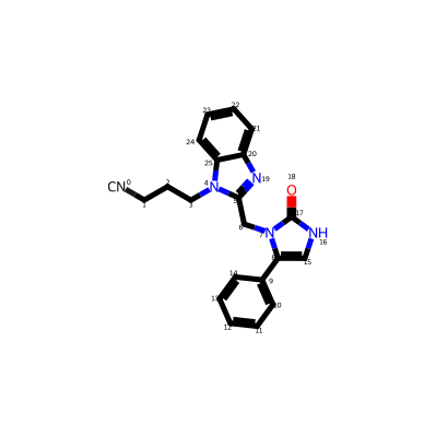 [C-]#[N+]CCCn1c(Cn2c(-c3ccccc3)c[nH]c2=O)nc2ccccc21